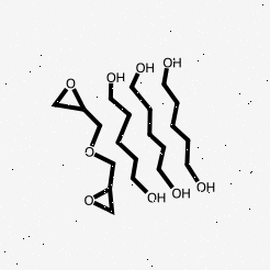 C(OCC1CO1)C1CO1.OCCCCCO.OCCCCCO.OCCCCCO